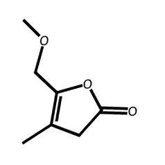 COCC1=C(C)CC(=O)O1